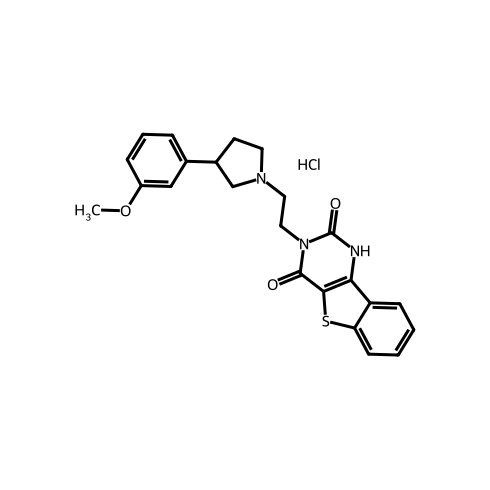 COc1cccc(C2CCN(CCn3c(=O)[nH]c4c(sc5ccccc54)c3=O)C2)c1.Cl